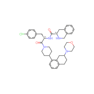 O=C(N[C@H](Cc1ccc(Cl)cc1)C(=O)N1CCC(c2cccc3c2CC(N2CCOCC2)CC3)CC1)[C@H]1Cc2ccccc2CN1